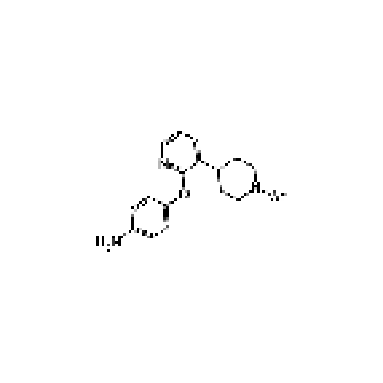 CC(=O)N1CCC(c2cccnc2Oc2ccc(N)cc2)CC1